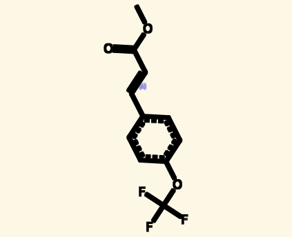 COC(=O)/C=C/c1ccc(OC(F)(F)F)cc1